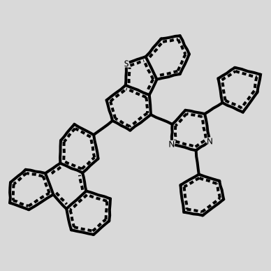 c1ccc(-c2cc(-c3cc(-c4ccc5c6ccccc6c6ccccc6c5c4)cc4sc5ccccc5c34)nc(-c3ccccc3)n2)cc1